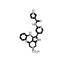 O=C(Nc1cc(-c2[nH]c3c(c2Nc2ccccc2)C(=O)CN(C(=O)O)C3)ccn1)c1cc[nH]c1